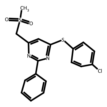 CS(=O)(=O)Cc1cc(Sc2ccc(Cl)cc2)nc(-c2ccccc2)n1